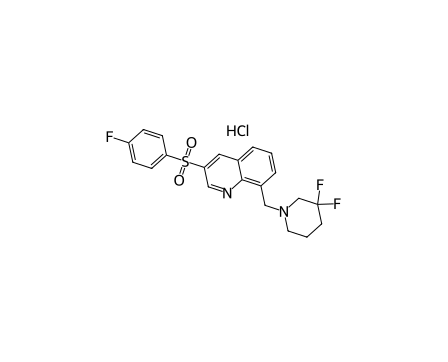 Cl.O=S(=O)(c1ccc(F)cc1)c1cnc2c(CN3CCCC(F)(F)C3)cccc2c1